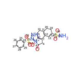 NN([N+]1([O-])C(=O)CC2=C1CCC1=C2C=C(S(N)(=O)=O)CC1)S(=O)(=O)c1ccccc1